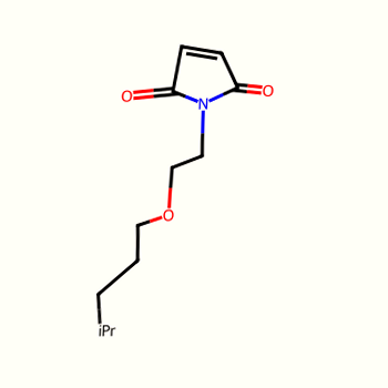 CC(C)CCCOCCN1C(=O)C=CC1=O